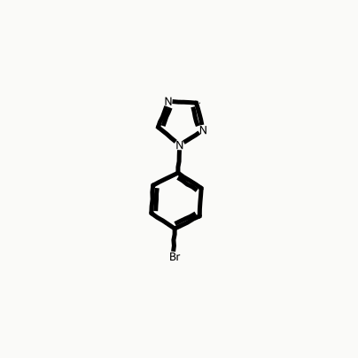 Brc1ccc(-n2cn[c]n2)cc1